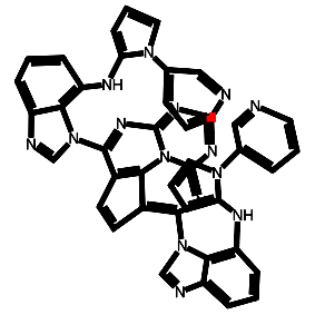 c1cncc(-n2cccc2Nc2cccc3ncn(-c4nc5ncnc6nc(-n7cnc8cccc(Nc9cccn9-c9cccnc9)c87)c7ccc4c7n56)c23)c1